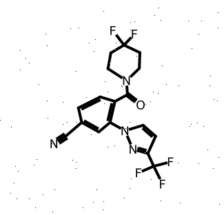 N#Cc1ccc(C(=O)N2CCC(F)(F)CC2)c(-n2ccc(C(F)(F)F)n2)c1